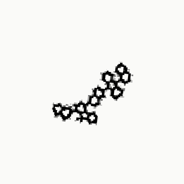 CC1(C)c2ccccc2-c2c(-c3ccc4cc(-c5c6ccccc6c(-c6cccc7ccccc67)c6ccccc56)ccc4c3)cc3oc4c5ccccc5ccc4c3c21